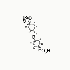 CC(C)(C)OC(=O)c1ccc(COc2ccc(C(=O)O)cc2)cc1